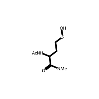 CNC(=O)C(CCSO)NC(C)=O